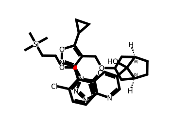 C[Si](C)(C)CCOCn1nnc2ncc(C3(O)[C@@H]4CC[C@H]3CC(OCc3c(-c5c(Cl)cccc5Cl)noc3C3CC3)C4)cc21